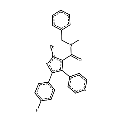 CCn1nc(-c2ccc(F)cc2)c(-c2ccncc2)c1C(=O)N(C)Cc1ccccc1